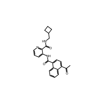 CC(=O)c1ccc(C(=O)Nc2cccnc2C(=O)NCC2CCC2)c2ccccc12